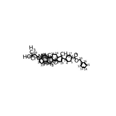 CC1C(C2=CC[C@H](C(=O)OCc3ccccc3)CC2)=CC[C@@]2(C)C1CC[C@]1(C)C2CC[C@@H]2[C@H]3CCC[C@]3(NCCC(C)(C)O)CC[C@]21C